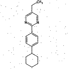 CCc1cnc(-c2ccc(C3CC[CH]CC3)cc2)nc1